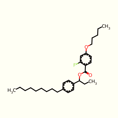 CCCCCCCCCc1ccc(C(CC)OC(=O)c2ccc(OCCCCC)cc2F)cc1